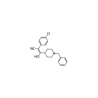 N#CC(=C(O)C1CCN(Cc2ccccc2)CC1)c1ccc(Cl)cc1